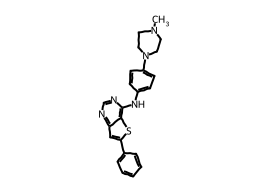 CN1CCN(c2ccc(Nc3ncnc4cc(-c5ccccc5)sc34)cc2)CC1